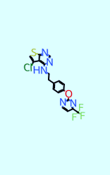 FC(F)(F)c1ccnc(Oc2ccc(CCNc3ncnc4scc(Cl)c34)cc2)n1